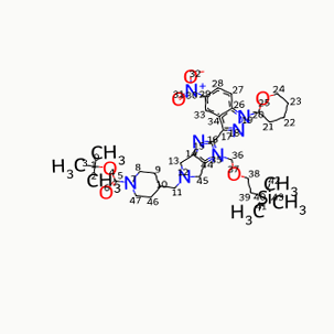 CC(C)(C)OC(=O)N1CCC(CN2Cc3nc(-c4nn(C5CCCCO5)c5ccc([N+](=O)[O-])cc45)n(COCC[Si](C)(C)C)c3C2)CC1